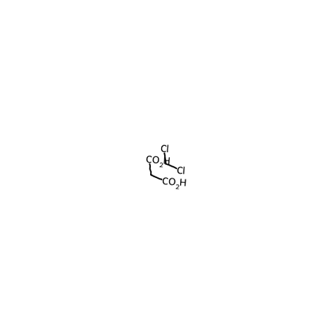 ClCCl.O=C(O)CC(=O)O